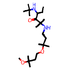 CCC(NC(C)(C)C)C(=O)C(C)(C)NCCC(C)(C)OCCC(C)(C)OC